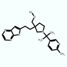 CCOCC1(CCc2cc3nccnc3s2)CCN(C(C)(C)c2ccc(C)nc2)C1